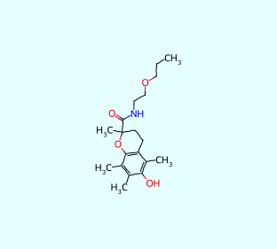 CCCOCCNC(=O)C1(C)CCc2c(C)c(O)c(C)c(C)c2O1